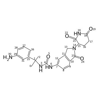 CC(C)(NC(=O)Nc1ccc2c(c1)CN(C1CCC(=O)NC1=O)C2=O)c1cccc(N)c1